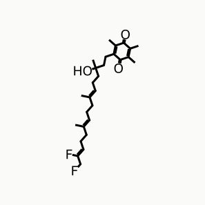 CC1=C(C)C(=O)C(CCC(C)(O)CC/C=C(\C)CC/C=C(\C)CC/C=C(\F)CF)=C(C)C1=O